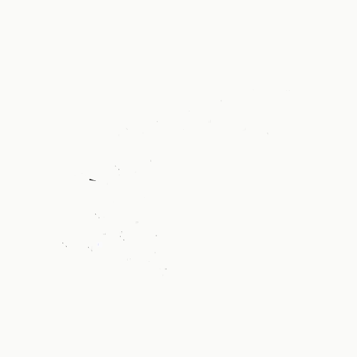 N#C/N=C(\NC[C@H](NC(=O)c1c(Cl)cc(CCCc2cccc(O)c2)cc1Cl)C(=O)O)N1CC[C@H](O)C1